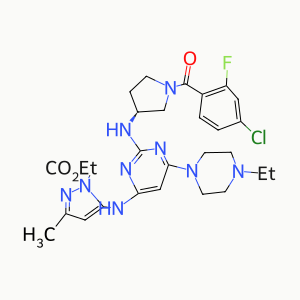 CCOC(=O)n1nc(C)cc1Nc1cc(N2CCN(CC)CC2)nc(N[C@H]2CCN(C(=O)c3ccc(Cl)cc3F)C2)n1